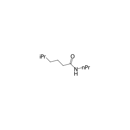 CCCNC(=O)CCCC(C)C